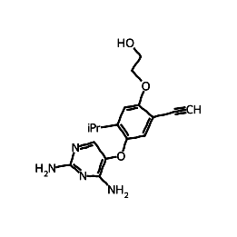 C#Cc1cc(Oc2cnc(N)nc2N)c(C(C)C)cc1OCCO